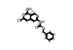 Nc1nc(Cl)cc2cc(NC(=O)OCc3ccccc3)ncc12